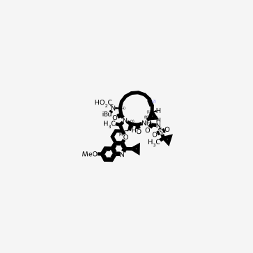 CCC(C)N(C(=O)O)[C@H]1CCCCC/C=C\[C@@H]2C[C@@]2(C(=O)NS(=O)(=O)C2(C)CC2)NC(=O)[C@@H]2C[C@]3(CCc4c(c(C5CC5)nc5ccc(OC)cc45)O3)C(C)N2C1=O